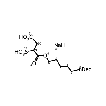 CCCCCCCCCCCCCCCOC(=O)C(CC(=O)O)S(=O)(=O)O.[NaH]